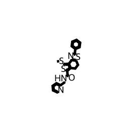 CSc1sc(C(=O)NCc2ccccn2)c2c1-c1nc(-c3ccccc3)sc1CC2